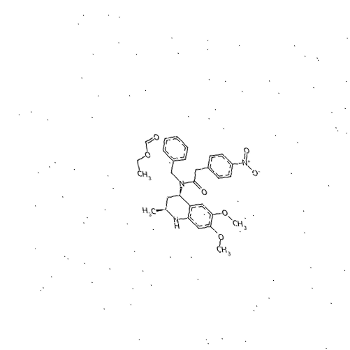 CCOC=O.COc1cc2c(cc1OC)[C@H](N(Cc1ccccc1)C(=O)Cc1ccc([N+](=O)[O-])cc1)C[C@H](C)N2